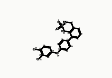 O=S1(=O)NCc2cccc(-c3ccc(Oc4ccc(Cl)c(Cl)c4)cc3)c2N1